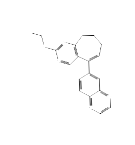 CCNc1ncc2c(n1)CCCC=C2c1ccc2nccnc2c1